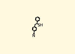 N#Cc1ccc(CC(S)c2ccccc2)cc1